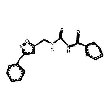 O=C(NC(=S)NCc1cc(-c2ccccc2)no1)c1ccccc1